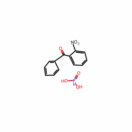 O=C(c1ccccc1)c1ccccc1[N+](=O)[O-].O=[PH](O)O